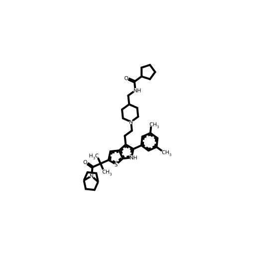 Cc1cc(C)cc(-c2[nH]c3sc(C(C)(C)C(=O)N4C5CCC4CC5)cc3c2CCN2CCC(CNC(=O)C3CCCC3)CC2)c1